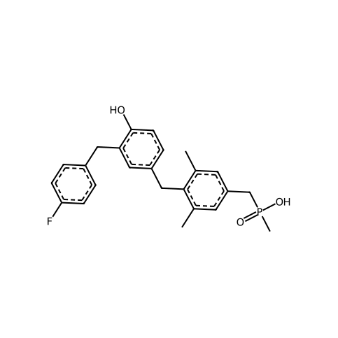 Cc1cc(CP(C)(=O)O)cc(C)c1Cc1ccc(O)c(Cc2ccc(F)cc2)c1